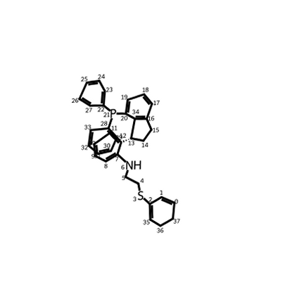 C1=CC(SCCNc2ccccc2[C@H]2CCc3cccc(P(c4ccccc4)c4ccccc4)c32)=CCC1